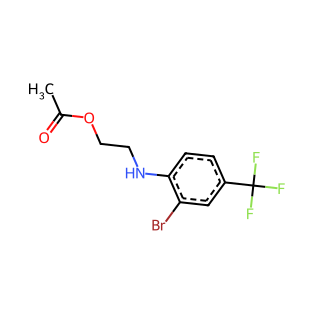 CC(=O)OCCNc1ccc(C(F)(F)F)cc1Br